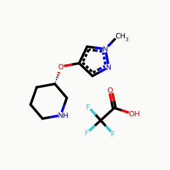 Cn1cc(O[C@H]2CCCNC2)cn1.O=C(O)C(F)(F)F